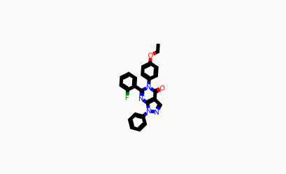 CCOc1ccc(-n2c(-c3ccccc3F)nc3c(cnn3-c3ccccc3)c2=O)cc1